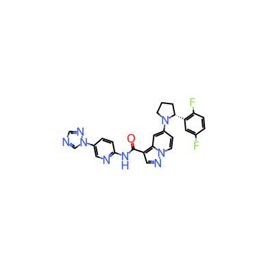 O=C(Nc1ccc(-n2cncn2)cn1)c1cnn2ccc(N3CCC[C@@H]3c3cc(F)ccc3F)cc12